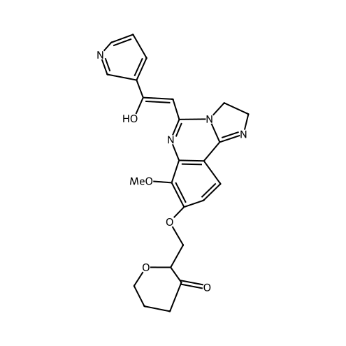 COc1c(OCC2OCCCC2=O)ccc2c1N=C(C=C(O)c1cccnc1)N1CCN=C21